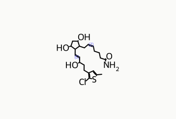 Cc1cc(CCC(O)/C=C/C2C(O)CC(O)C2C/C=C\CCCC(N)=O)c(Cl)s1